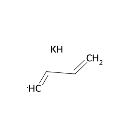 [CH]=CC=C.[KH]